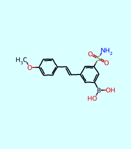 COc1ccc(/C=C/c2cc(B(O)O)cc(S(N)(=O)=O)c2)cc1